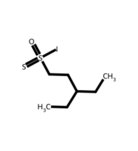 CCC(CC)CCS(=O)(=S)I